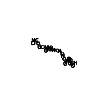 N#Cc1ccc(O[C@H]2CC[C@H](NC(=O)c3ccc(N4CC5(CCN(CC6CCN(c7ccc8c(c7)C(=O)N(C7CCC(=O)NC7=O)C8=O)CC6)CC5)C4)nn3)CC2)cc1Cl